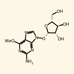 COc1nc(N)nc2c1ncn2O[C@@H]1O[C@H](CO)[C@@H](O)[C@@H]1O